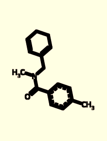 Cc1ccc(C(=O)N(C)CC2=CCCC=C2)cc1